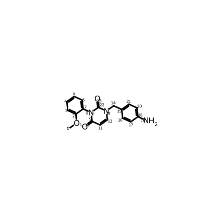 COc1ccccc1-n1c(=O)ccn(Cc2ccc(N)cc2)c1=O